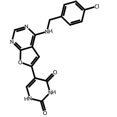 O=c1[nH]cc(-c2cc3c(NCc4ccc(Cl)cc4)ncnc3o2)c(=O)[nH]1